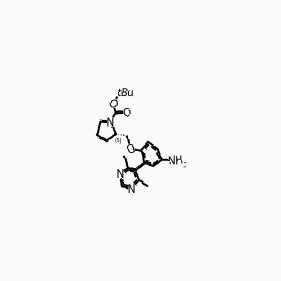 Cc1ncnc(C)c1-c1cc(N)ccc1OC[C@@H]1CCCN1C(=O)OC(C)(C)C